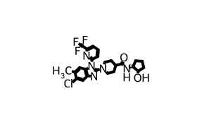 Cc1cc2c(cc1Cl)nc(N1CCC(C(=O)N[C@H]3CCCC3O)CC1)n2-c1cccc(C(F)(F)F)n1